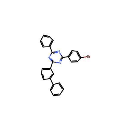 Brc1ccc(-c2nc(-c3ccccc3)nc(-c3cccc(-c4ccccc4)c3)n2)cc1